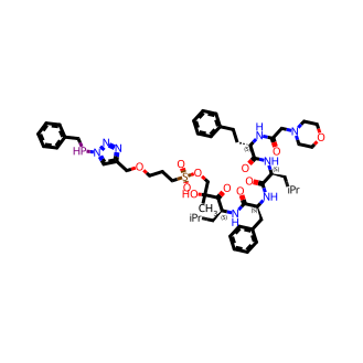 CC(C)C[C@H](NC(=O)[C@H](CCc1ccccc1)NC(=O)CN1CCOCC1)C(=O)N[C@@H](Cc1ccccc1)C(=O)N[C@@H](CC(C)C)C(=O)C(C)(O)COS(=O)(=O)CCCOCc1cn(PCc2ccccc2)nn1